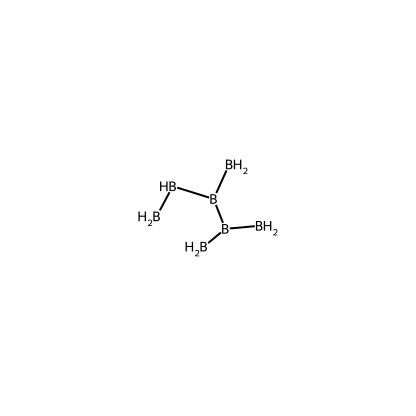 BBB(B)B(B)B